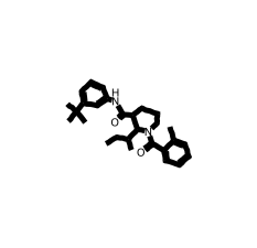 CCC(C)C1C(C(=O)Nc2cccc(C(C)(C)C)c2)CCCN1C(=O)c1ccccc1C